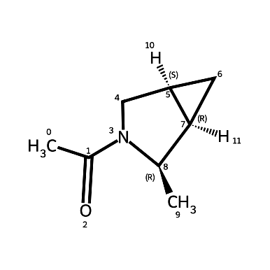 CC(=O)N1C[C@H]2C[C@H]2[C@H]1C